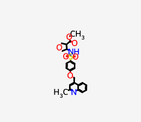 COC(=O)C1COCC1NS(=O)(=O)c1ccc(OCc2cc(C)nc3ccccc23)cc1